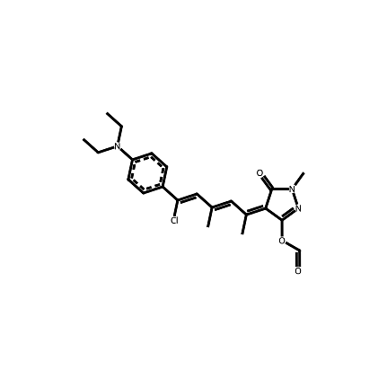 CCN(CC)c1ccc(/C(Cl)=C/C(C)=C/C(C)=C2\C(=O)N(C)N=C2OC=O)cc1